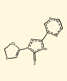 S=c1[nH]c(-c2cccnc2)nn1C1=COCO1